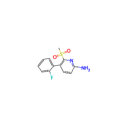 CS(=O)(=O)c1nc(N)ccc1-c1ccccc1F